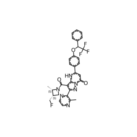 Cc1nccnc1-c1nn2c(=O)cc(-c3ccc(OC(c4ccccc4)C(F)(F)F)cc3)[nH]c2c1C(=O)N1C[C@H](CF)[C@@H]1C